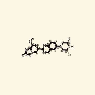 COc1nc(-c2ncc3cc(N4C[C@@H](C)N[C@H](C)C4)ccc3n2)cn2cc(C)nc12